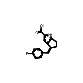 O=C(O)c1cc2c([nH]1)CCC2=Cc1ccc(F)cc1